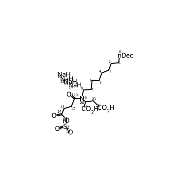 CCCCCCCCCCCCCCCCCCN(C(=O)CCC(=O)O[SH](=O)=O)C(CC(=O)O)C(=O)O.[NaH].[NaH].[NaH].[NaH]